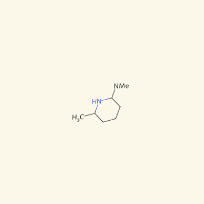 CNC1CCCC(C)N1